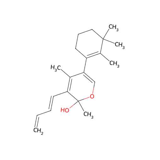 C=CC=CC1=C(C)C(C2=C(C)C(C)(C)CCC2)=COC1(C)O